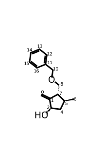 C=C1[C@H](O)C[C@H](C)[C@H]1COCc1ccccc1